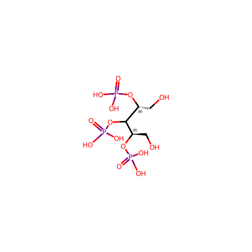 O=P(O)(O)OC([C@@H](CO)OP(=O)(O)O)[C@@H](CO)OP(=O)(O)O